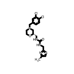 Cc1csc(CNC(=O)NC[C@H]2CN(Cc3ccc(Cl)c(Cl)c3)CCO2)n1